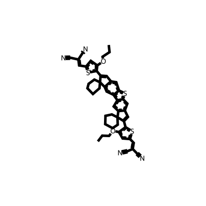 CCCOc1cc(C=C(C#N)C#N)sc1C1=Cc2cc3sc4cc5c(cc4c3cc2C12CCCCC2)C1(CCCCC1)C(c1sc(C=C(C#N)C#N)cc1OCCC)=C5